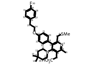 CSCc1nc(C)c(CC(=O)O)c(N2CCC(C)(C)CC2)c1-c1ccc(OCCc2ccc(F)cc2)cc1